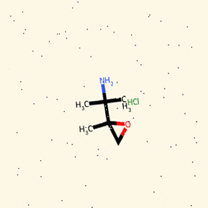 CC(C)(N)C1(C)CO1.Cl